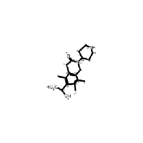 Cc1c(I)c(C(O)C(=O)O)c(C)c2c1CN(C1CCNCC1)C(=O)C2